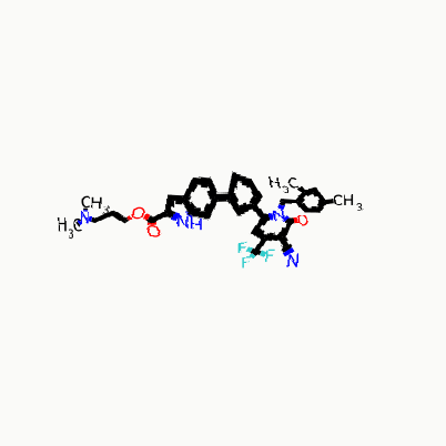 Cc1ccc(Cn2c(-c3cccc(-c4ccc5cc(C(=O)OCCCN(C)C)[nH]c5c4)c3)cc(C(F)(F)F)c(C#N)c2=O)c(C)c1